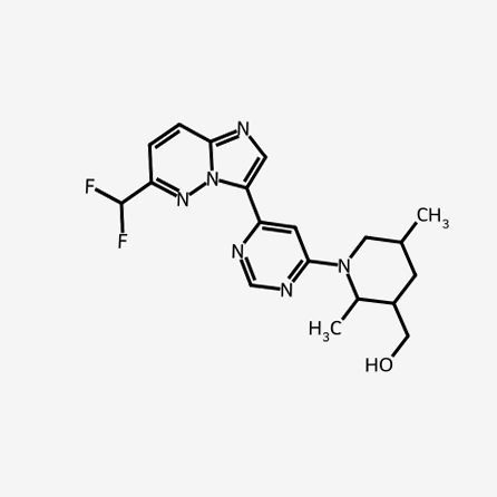 CC1CC(CO)C(C)N(c2cc(-c3cnc4ccc(C(F)F)nn34)ncn2)C1